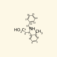 Cc1ccccc1C(CC(=O)O)NCc1ccccc1